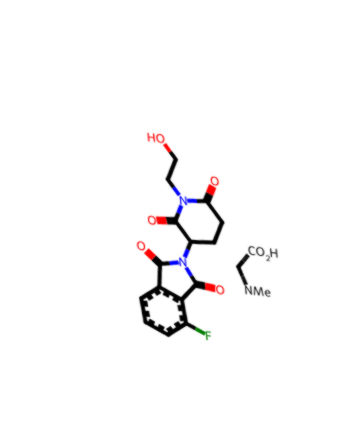 CNCC(=O)O.O=C1CCC(N2C(=O)c3cccc(F)c3C2=O)C(=O)N1CCO